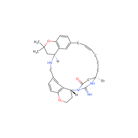 CC[C@]12CCC/C=C\Cc3ccc4c(c3)[C@H](CC(C)(C)O4)NCc3ccc4c(c3)[C@@H](CCO4)N(C(=N)N1)C(=O)C2